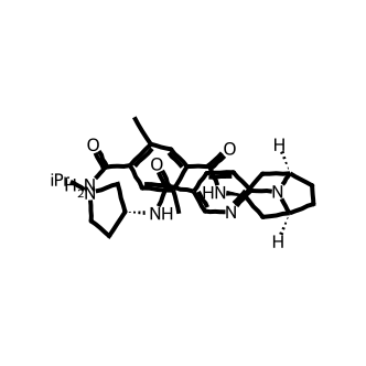 Cc1cc(C(=O)N[C@H]2C[C@H]3CC[C@@H](C2)N3c2ccc(C(=O)N[C@@H]3CCN(C(C)C)C3)cn2)c(C)cc1C(N)=O